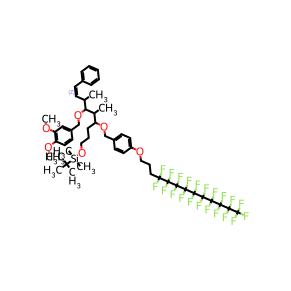 COc1ccc(COC(C(C)/C=C\c2ccccc2)C(C)C(CCCO[Si](C)(C)C(C)(C)C)OCc2ccc(OCCCC(F)(F)C(F)(F)C(F)(F)C(F)(F)C(F)(F)C(F)(F)C(F)(F)C(F)(F)C(F)(F)C(F)(F)F)cc2)cc1OC